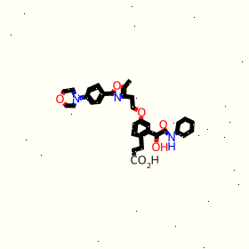 Cc1oc(-c2ccc(N3CCOCC3)cc2)nc1CCOc1ccc(CCC(=O)O)c(C(O)C(=O)NC2CCCCC2)c1